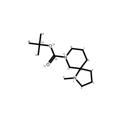 CN1CCCC12CCCN(C(=O)OC(C)(C)C)C2